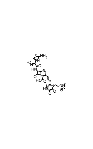 CON=C(C(=O)NC1C(=O)N2C(C(=O)O)=C(C=CSc3n[nH]c(=O)c(=O)n3CCNS(C)(=O)=O)CSC12)c1csc(N)n1